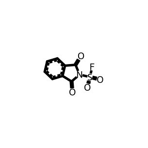 O=C1c2ccccc2C(=O)N1S(=O)(=O)F